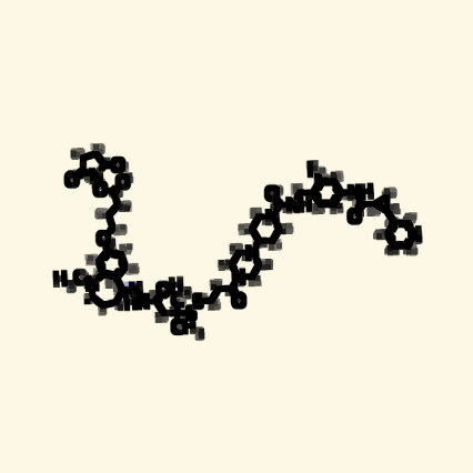 CN1CCC/C(=N\NC(=O)CC(C)(C)SSCCC(=O)N2CCN(C3CCN(C(=O)NCc4ccc(NC(=O)C5CC5c5cccnc5)cc4F)CC3)CC2)c2ccc(OCCCC(=O)ON3C(=O)CCC3=O)cc21